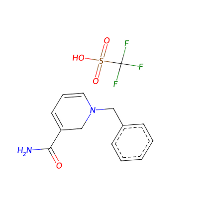 NC(=O)C1=CC=CN(Cc2ccccc2)C1.O=S(=O)(O)C(F)(F)F